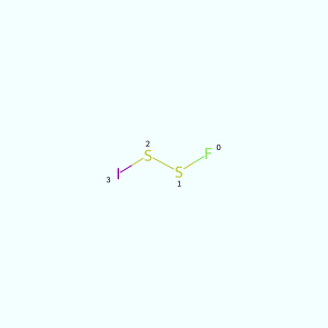 FSSI